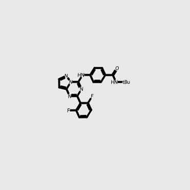 CC(C)(C)NC(=O)c1ccc(Nc2nc(-c3c(F)cccc3F)nc3ccnn23)cc1